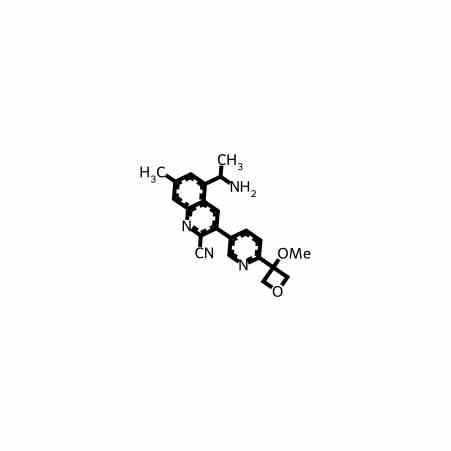 COC1(c2ccc(-c3cc4c(C(C)N)cc(C)cc4nc3C#N)cn2)COC1